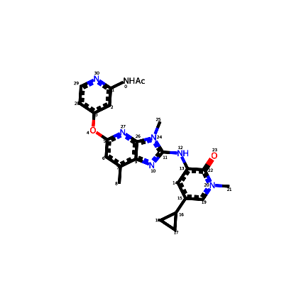 CC(=O)Nc1cc(Oc2cc(C)c3nc(Nc4cc(C5CC5)cn(C)c4=O)n(C)c3n2)ccn1